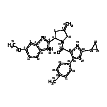 C=C1CC(c2nc3cc(OC)ccc3[nH]2)N(C(=O)c2nc(C3CC3)sc2-c2ccc(C)cc2)C1